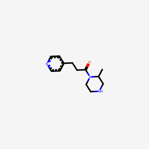 CC1CNCCN1C(=O)CCc1ccncc1